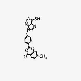 Cc1ccc2c(c1)OB(c1ccc(Cn3cnc4c(S)ncnc43)cc1)OC2=O